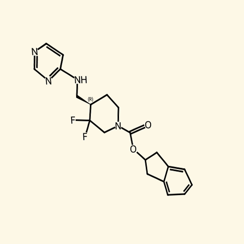 O=C(OC1Cc2ccccc2C1)N1CC[C@H](CNc2ccncn2)C(F)(F)C1